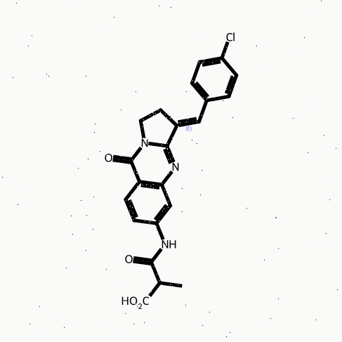 CC(C(=O)O)C(=O)Nc1ccc2c(=O)n3c(nc2c1)/C(=C/c1ccc(Cl)cc1)CC3